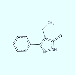 CCn1c(-c2ccccc2)n[nH]c1=O